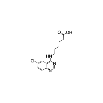 O=C(O)CCCCCNc1ncnc2ccc(Cl)cc12